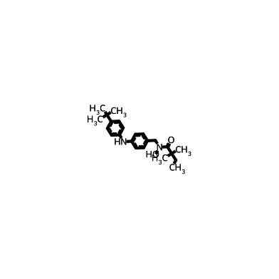 CCC(C)(C)C(=O)N(O)Cc1ccc(Nc2ccc(C(C)(C)C)cc2)cc1